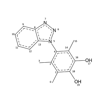 Cc1c(C)c(-n2nnc3ccccc32)c(C)c(O)c1O